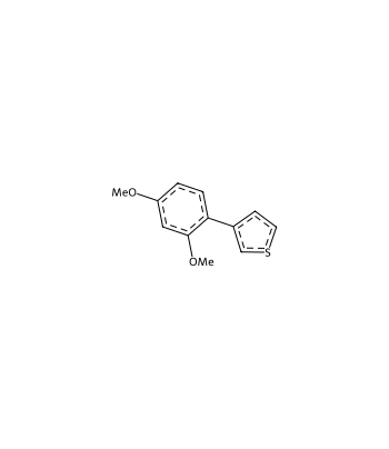 COc1ccc(-c2ccsc2)c(OC)c1